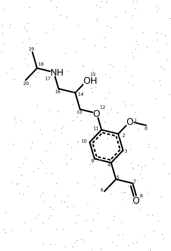 COc1cc(C(C)C=O)ccc1OCC(O)CNC(C)C